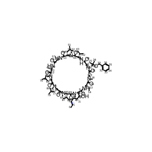 C/C=C/C[C@@H](C)[C@@H](O)[C@H]1C(=O)N[C@@H](CC)C(=O)N(C)CC(=O)N(C)[C@@H](CC(C)(C)OCc2ccccc2)C(=O)N[C@@H](C(C)C)C(=O)N(C)[C@@H](CC(C)C)C(=O)N[C@@H](C)C(=O)N[C@H](C)C(=O)N(C)[C@@H](CC(C)C)C(=O)N(C)[C@@H](CC(C)C)C(=O)N(C)[C@@H](C(C)C)C(=O)N1C